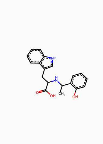 CC(NC(Cc1c[nH]c2ccccc12)C(=O)O)c1ccccc1O